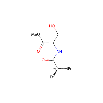 CC[C@@H](C(=O)NC(CO)C(=O)OC)C(C)C